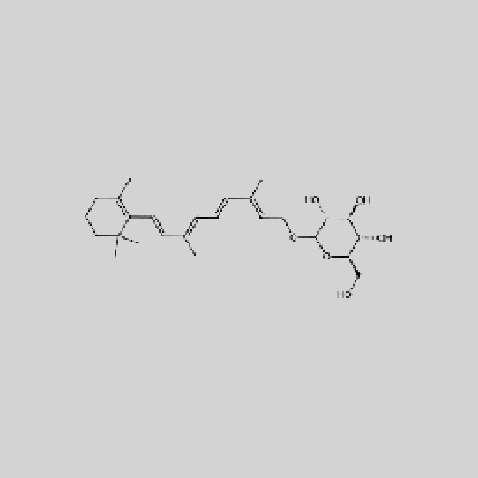 CC(C=CC1=C(C)CCCC1(C)C)=CC=CC(C)=CCOC1O[C@H](CO)[C@@H](O)[C@H](O)[C@H]1O